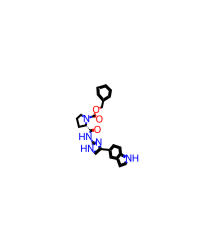 O=C(Nc1nc(-c2ccc3[nH]ccc3c2)c[nH]1)[C@@H]1CCCN1C(=O)OCc1ccccc1